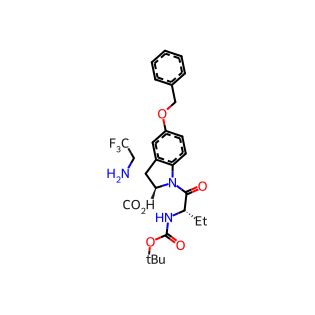 CC[C@H](NC(=O)OC(C)(C)C)C(=O)N1c2ccc(OCc3ccccc3)cc2C[C@@H]1C(=O)O.NCC(F)(F)F